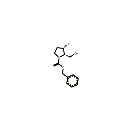 C[C@@H]1CCN(C(=O)OCc2ccccc2)[C@@H]1CO